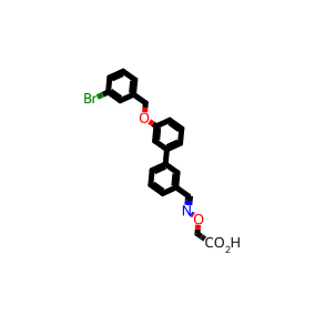 O=C(O)CON=Cc1cccc(-c2cccc(OCc3cccc(Br)c3)c2)c1